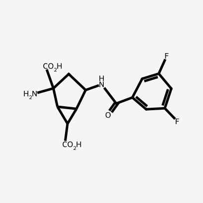 NC1(C(=O)O)CC(NC(=O)c2cc(F)cc(F)c2)C2C(C(=O)O)C21